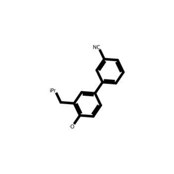 CC(C)Cc1cc(-c2cccc(C#N)c2)ccc1[O]